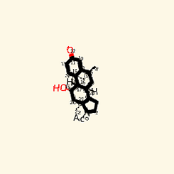 CC(=O)[C@H]1CCC2[C@@H]3C[C@H](C)C4=CC(=O)C=C[C@]4(C)[C@H]3[C@@H](O)C[C@@]21C